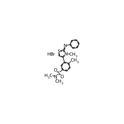 Br.Cc1ccc(S(=O)(=O)N(C)C)cc1-c1csc(=Nc2ccccc2)n1C